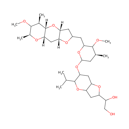 COC1[C@H](C)O[C@H]2C[C@H]3OC(CC4OC(OC5CC6OC(C(O)CO)CC6OC5C(C)C)C[C@H](C)C4OC)C[C@H]3O[C@H]2[C@@H]1C